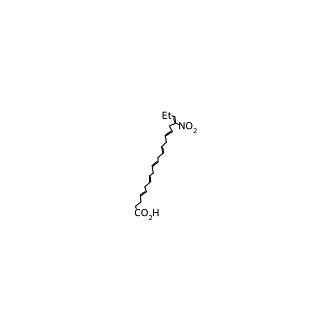 CCC=C(CC=CCC=CCC=CCC=CCC=CCCC(=O)O)[N+](=O)[O-]